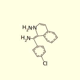 N/C(=C1/c2ccccc2C=CN1N)c1ccc(Cl)cc1